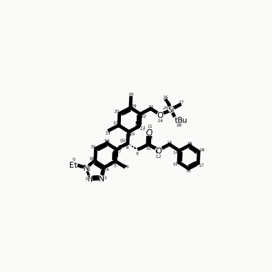 CCn1nnc2c(C)c([C@@H](CC(=O)OCc3ccccc3)C3C=C(CO[Si](C)(C)C(C)(C)C)C(C)=CC3C)ccc21